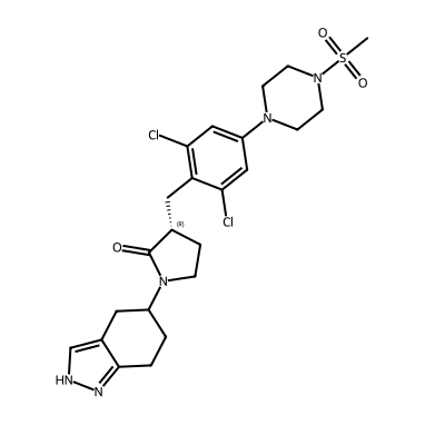 CS(=O)(=O)N1CCN(c2cc(Cl)c(C[C@@H]3CCN(C4CCc5n[nH]cc5C4)C3=O)c(Cl)c2)CC1